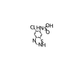 O=S(O)Nc1cc2c(cc1Cl)N=CNS2